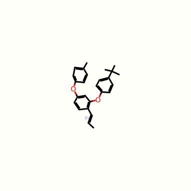 C/C=C/c1ccc(Oc2ccc(C)cc2)cc1Oc1ccc(C(C)(C)C)cc1